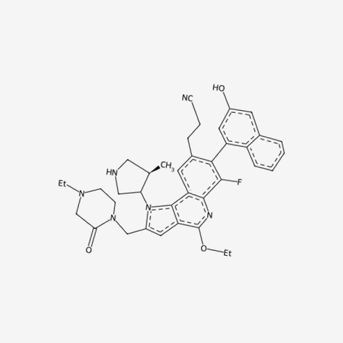 CCOc1nc2c(F)c(-c3cc(O)cc4ccccc34)c(CCC#N)cc2c2c1cc(CN1CCN(CC)CC1=O)n2C1CNC[C@H]1C